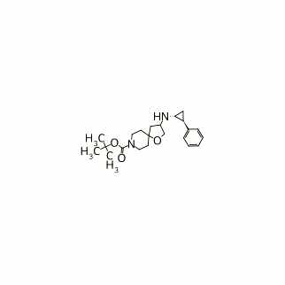 CC(C)(C)OC(=O)N1CCC2(CC1)CC(N[C@@H]1C[C@H]1c1ccccc1)CO2